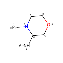 CCCN1CCOCC1NC(C)=O